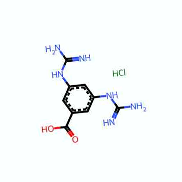 Cl.N=C(N)Nc1cc(NC(=N)N)cc(C(=O)O)c1